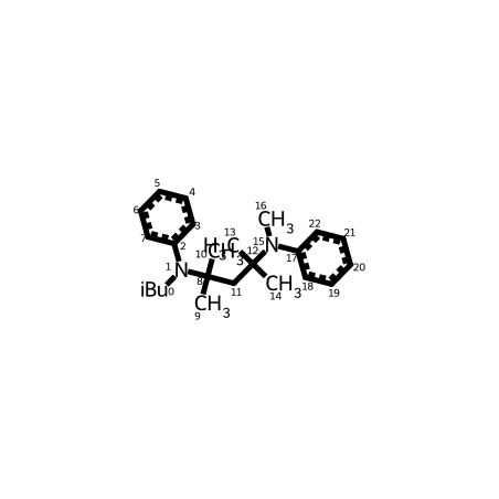 CCC(C)N(c1ccccc1)C(C)(C)CC(C)(C)N(C)c1ccccc1